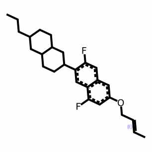 C/C=C/COc1cc(F)c2cc(C3CCC4CC(CCC)CCC4C3)c(F)cc2c1